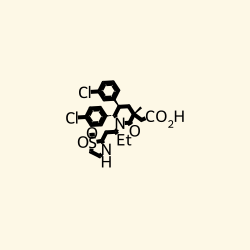 CCC(CC1NCCS1(=O)=O)N1C(=O)[C@@](C)(CC(=O)O)C[C@H](c2cccc(Cl)c2)[C@H]1c1ccc(Cl)cc1